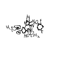 Cc1ccc(S(C)(=O)=O)cc1-c1n[nH]c2nc(Oc3ccc(F)cc3F)nc(NCC(C)O)c12